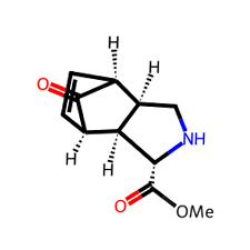 COC(=O)[C@H]1NC[C@H]2[C@@H]1[C@H]1C=C[C@@H]2C1=O